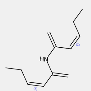 C=C(/C=C\CC)NC(=C)/C=C\CC